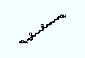 CCCCCCCCCCCOC(=O)CCCCCC(=O)CCCCCCCCO